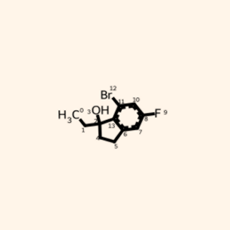 CCC1(O)CCc2cc(F)cc(Br)c21